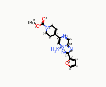 CC(C)(C)OC(=O)N1CC=C(C2=C[N+]3(N)N=C(c4ccco4)N=C3C=N2)CC1